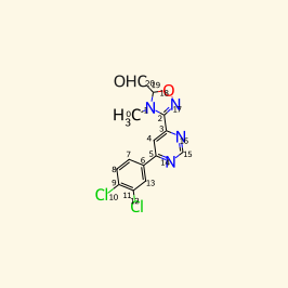 CN1C(c2cc(-c3ccc(Cl)c(Cl)c3)ncn2)=NOC1C=O